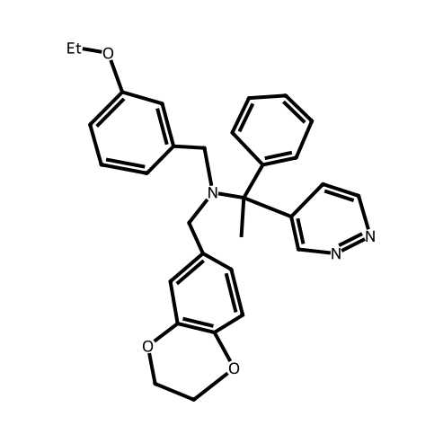 CCOc1cccc(CN(Cc2ccc3c(c2)OCCO3)C(C)(c2ccccc2)c2ccnnc2)c1